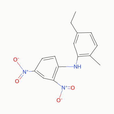 CCc1ccc(C)c(Nc2ccc([N+](=O)[O-])cc2[N+](=O)[O-])c1